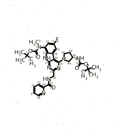 CN(C(=O)OC(C)(C)C)c1cc(F)cc2c1[nH]c1nc(CNC(=O)c3ccccn3)nc(N3CC[C@H](NC(=O)OC(C)(C)C)C3)c12